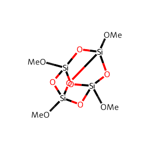 CO[Si]12O[Si]3(OC)O[Si](OC)(O1)O[Si](OC)(O2)O3